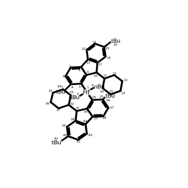 CCC[CH2][Hf]([CH2]CCC)([c]1c(C(C)(C)C)ccc2c1C(C1CCCCC1)c1cc(C(C)(C)C)ccc1-2)[c]1c(C(C)(C)C)ccc2c1C(C1CCCCC1)c1cc(C(C)(C)C)ccc1-2